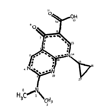 CN(C)c1ncc2c(=O)c(C(=O)O)cn(C3CC3)c2n1